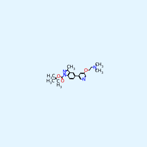 Cc1nn(C(=O)OC(C)(C)C)c2ccc(-c3cncc(OCCN(C)C)c3)cc12